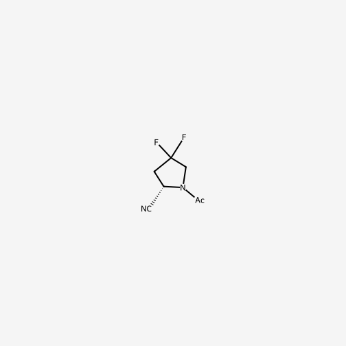 CC(=O)N1CC(F)(F)C[C@H]1C#N